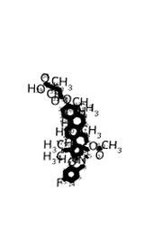 CC(=O)O[C@H](CN(C)Cc1ccc(F)cc1)[C@@]12CC[C@]3(C)[C@H](CC[C@@H]4[C@@]5(C)CC[C@H](OC(=O)CC(C)(C)C(=O)O)C(C)(C)[C@@H]5CC[C@]43C)C1=C(C(C)C)C(=O)C2